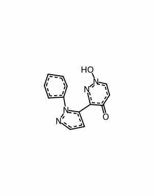 O=c1ccn(O)nc1-c1ccnn1-c1ccccc1